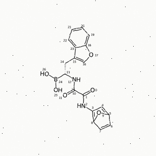 O=C(Nc1cc2ccc1o2)C(=O)N[C@@H](Cc1coc2ccccc12)B(O)O